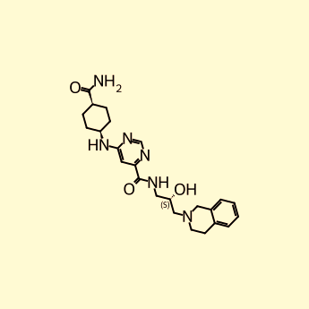 NC(=O)[C@H]1CC[C@@H](Nc2cc(C(=O)NC[C@H](O)CN3CCc4ccccc4C3)ncn2)CC1